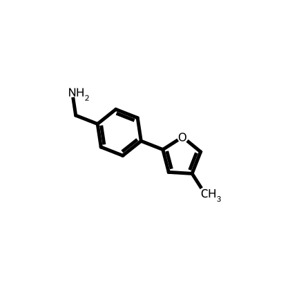 Cc1coc(-c2ccc(CN)cc2)c1